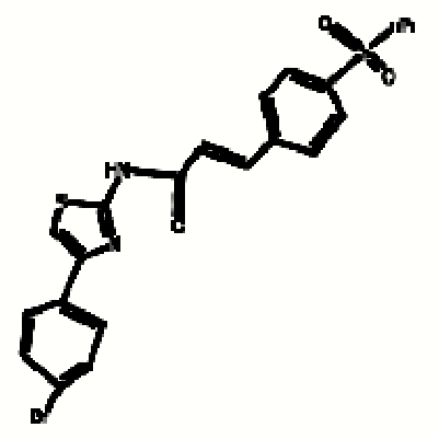 CCCS(=O)(=O)c1ccc(/C=C/C(=O)Nc2nc(-c3ccc(Br)cc3)cs2)cc1